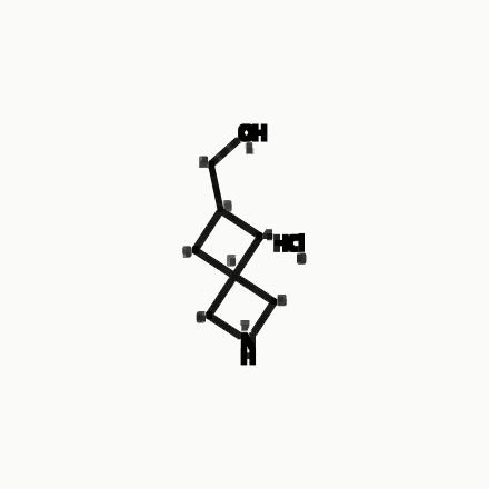 Cl.OCC1CC2(CNC2)C1